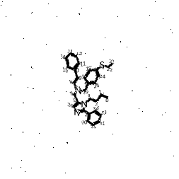 CCCCn1c(CN(CCc2ccccc2)Cc2ccc(SCC)cc2)cnc1-c1ccccc1